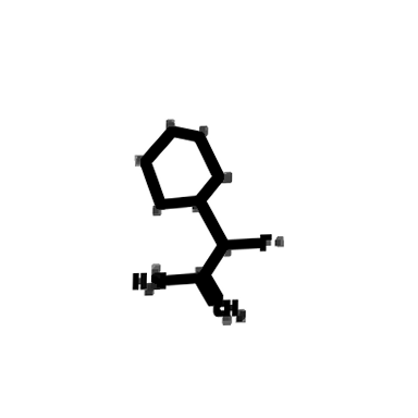 C=C([SiH3])C(F)C1CCCCC1